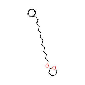 C(=Cc1ccccc1)CCCCCCCCCCCOC1CCCCO1